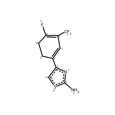 Nc1nc(C2=CC(C(F)(F)F)=C(F)CC2)cs1